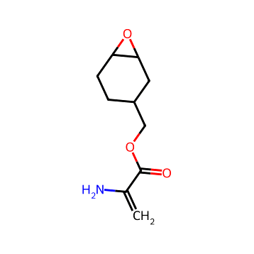 C=C(N)C(=O)OCC1CCC2OC2C1